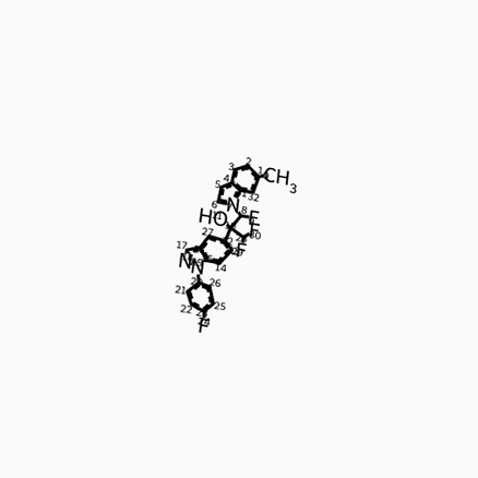 Cc1ccc2ccn(C(F)C(O)(c3ccc4c(cnn4-c4ccc(F)cc4)c3)C(F)F)c2c1